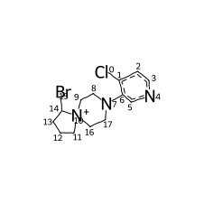 Clc1ccncc1N1CC[N+]2(CCCC2Br)CC1